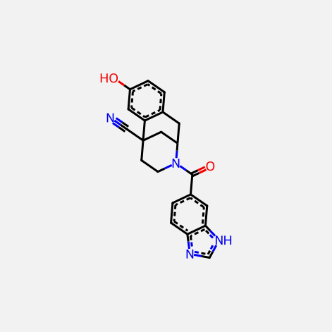 N#CC12CCN(C(=O)c3ccc4nc[nH]c4c3)C(Cc3ccc(O)cc31)C2